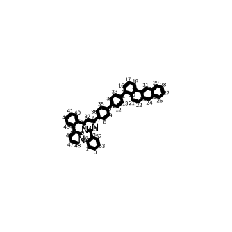 c1ccc(-c2nc(-c3ccc(-c4ccc(-c5cccc6c5ccc5cc7ccccc7cc56)cc4)cc3)cc(-c3ccccc3-c3cccnc3)n2)cc1